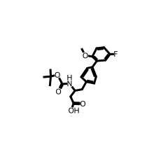 COc1ccc(F)cc1-c1ccc(CC(CC(=O)O)NC(=O)OC(C)(C)C)cc1